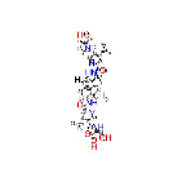 Cc1c(NC(=O)c2cc(C3CC3)c(CN[C@H](CO)C(=O)O)cn2)cccc1-c1cccc(NC(=O)c2cc(C3CC3)c(CN3CCC[C@H]3CO)cn2)c1C